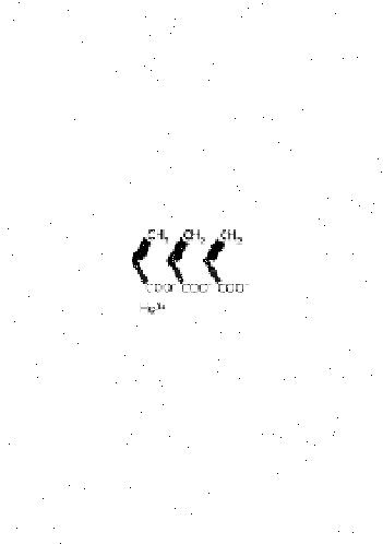 C=CC(=O)[O-].C=CC(=O)[O-].C=CC(=O)[O-].[Ho+3]